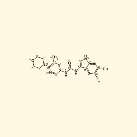 Cc1cc(NC(=O)Nc2c[nH]c3cc(F)c(F)cc23)cnc1N1CCOCC1